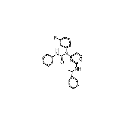 CC(Nc1nccc(N(C(=O)Nc2ccccc2)c2cccc(F)c2)n1)c1ccccc1